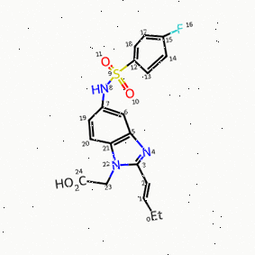 CC/C=C/c1nc2cc(NS(=O)(=O)c3ccc(F)cc3)ccc2n1CC(=O)O